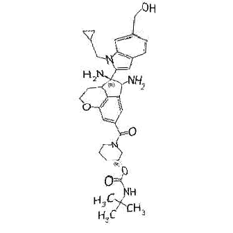 CC(C)(C)NC(=O)O[C@@H]1CCCN(C(=O)c2cc3c4c(c2)C(N)[C@@](N)(c2cc5ccc(CO)cc5n2CC2CC2)C4CCO3)C1